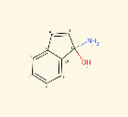 N[C@@]1(O)C=Cc2ccccc21